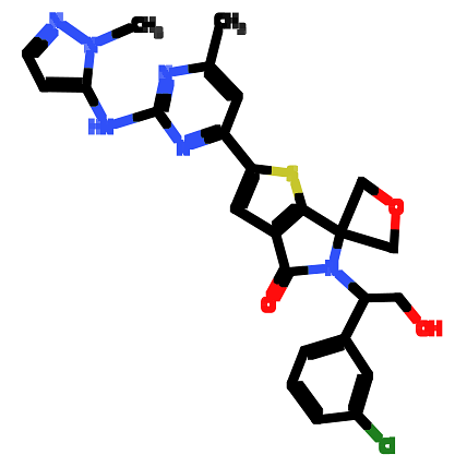 Cc1cc(-c2cc3c(s2)C2(COC2)N(C(CO)c2cccc(Cl)c2)C3=O)nc(Nc2ccnn2C)n1